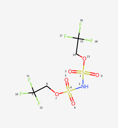 O=S(=O)(NS(=O)(=O)OCC(F)(F)F)OCC(F)(F)F